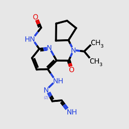 CC(C)N(C(=O)c1nc(NC=O)ccc1N/N=C\C=N)C1CCCC1